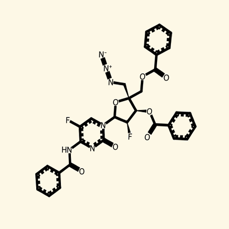 [N-]=[N+]=NC[C@]1(COC(=O)c2ccccc2)OC(n2cc(F)c(NC(=O)c3ccccc3)nc2=O)[C@H](F)[C@@H]1OC(=O)c1ccccc1